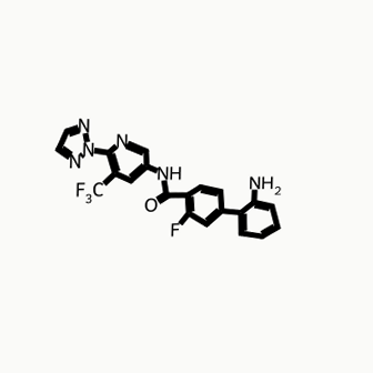 Nc1ccccc1-c1ccc(C(=O)Nc2cnc(-n3nccn3)c(C(F)(F)F)c2)c(F)c1